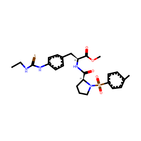 CCNC(=S)Nc1ccc(C[C@H](NC(=O)[C@@H]2CCCN2S(=O)(=O)c2ccc(C)cc2)C(=O)OC)cc1